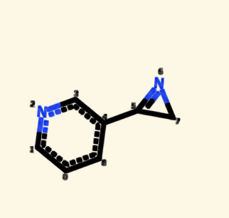 c1cncc(C2=NC2)c1